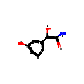 [NH]C(=O)C(O)c1cccc(O)c1